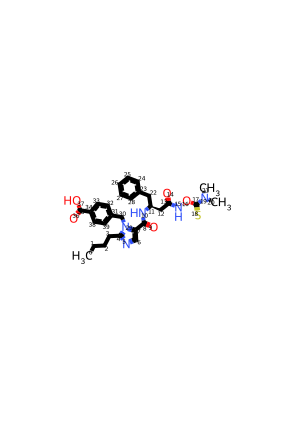 CCCCc1ncc(C(=O)N[C@H](CC(=O)NOC(=S)N(C)C)Cc2ccccc2)n1Cc1ccc(C(=O)O)cc1